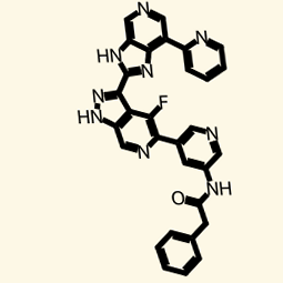 O=C(Cc1ccccc1)Nc1cncc(-c2ncc3[nH]nc(-c4nc5c(-c6ccccn6)cncc5[nH]4)c3c2F)c1